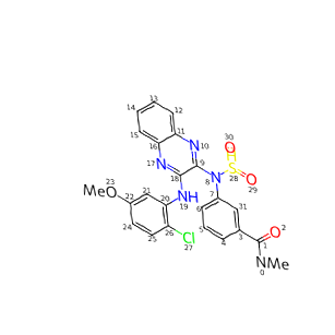 CNC(=O)c1cccc(N(c2nc3ccccc3nc2Nc2cc(OC)ccc2Cl)[SH](=O)=O)c1